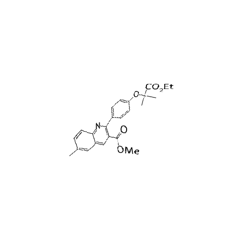 CCOC(=O)C(C)(C)Oc1ccc(-c2nc3ccc(C)cc3cc2C(=O)OC)cc1